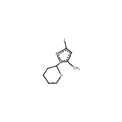 Cc1cc(I)nn1C1CCCCO1